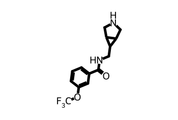 O=C(NCC1C2CNCC21)c1cccc(OC(F)(F)F)c1